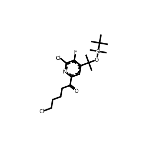 CC(C)(O[Si](C)(C)C(C)(C)C)c1cc(C(=O)CCCCCl)nc(Cl)c1F